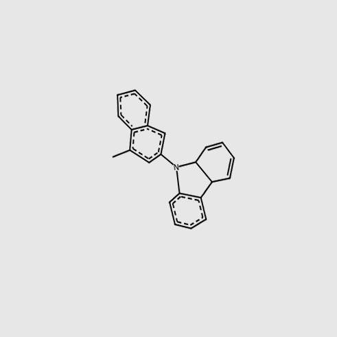 Cc1cc(N2c3ccccc3C3C=CC=CC32)cc2ccccc12